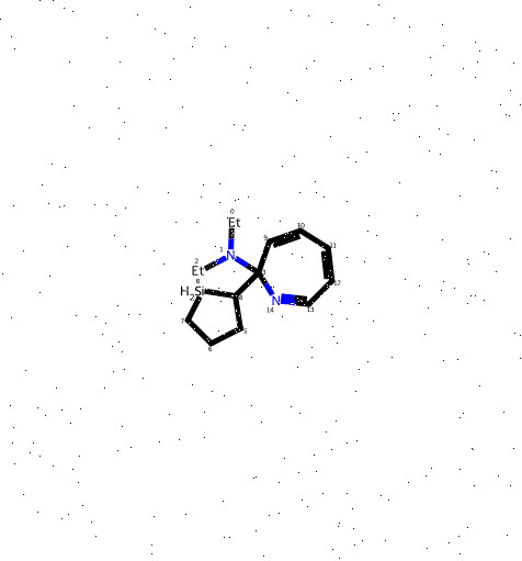 CCN(CC)C1([C]2CCC[SiH2]2)C=CC=CC=N1